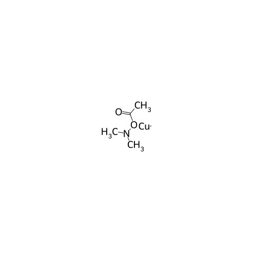 CC(=O)ON(C)C.[Cu]